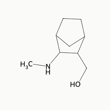 CNC1C2CCC(C2)C1CO